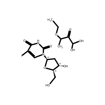 CCOC(C)C(=O)C(O)O.O=c1[nH]c(=O)n([C@H]2C[C@H](O)[C@@H](CO)O2)cc1I